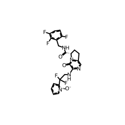 O=C(NCc1c(F)ccc(F)c1F)[C@@H]1CCc2cnc(NCC(F)(F)c3cccc[n+]3[O-])c(=O)n21